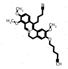 C#CCCCCOc1cc2c(cc1OC)-c1c(CCCC#N)c3ccc(OC)c(OC)c3c[n+]1CC2